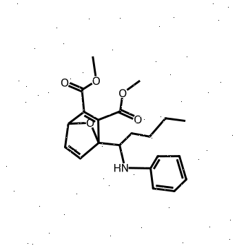 CCCCC(Nc1ccccc1)C12C=CC(O1)C(C(=O)OC)=C2C(=O)OC